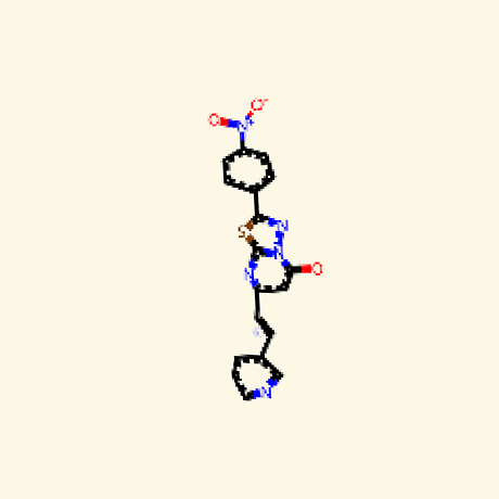 O=c1cc(/C=C/c2cccnc2)nc2sc(-c3ccc([N+](=O)[O-])cc3)nn12